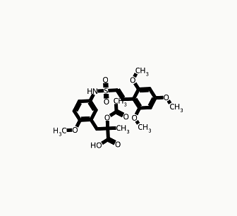 COc1cc(OC)c(C=CS(=O)(=O)Nc2ccc(OC)c(CC(C)(OC(C)=O)C(=O)O)c2)c(OC)c1